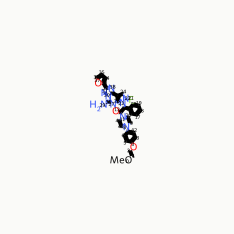 COCCOc1ccc(N2CCN(C(=O)C(c3ccccc3F)n3ncc4c3nc(N)n3nc(-c5ccco5)nc43)CC2)cc1